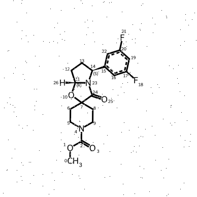 COC(=O)N1CCC2(CC1)O[C@@H]1CC[C@@H](c3cc(F)cc(F)c3)N1C2=O